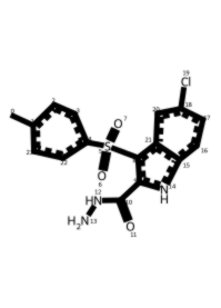 Cc1ccc(S(=O)(=O)c2c(C(=O)NN)[nH]c3ccc(Cl)cc23)cc1